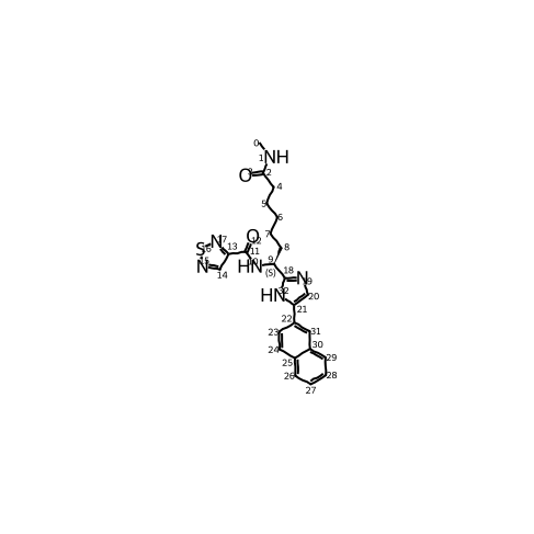 CNC(=O)CCCCC[C@H](NC(=O)c1cnsn1)c1ncc(-c2ccc3ccccc3c2)[nH]1